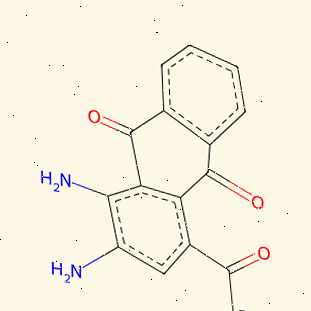 CCCCCC(=O)c1cc(N)c(N)c2c1C(=O)c1ccccc1C2=O